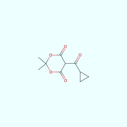 CC1(C)OC(=O)C(C(=O)C2CC2)C(=O)O1